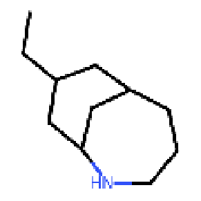 CCC1CC2CCCNC(C1)C2